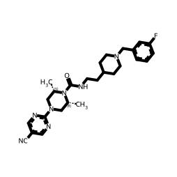 C[C@@H]1CN(c2ncc(C#N)cn2)C[C@H](C)N1C(=O)NCCC1CCN(Cc2cccc(F)c2)CC1